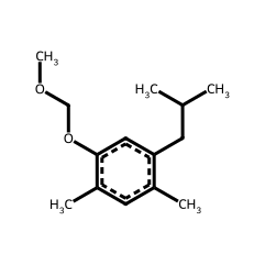 COCOc1cc(CC(C)C)c(C)cc1C